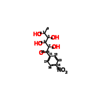 CC(O)C(O)C(O)C(O)C(=O)c1ccc([N+](=O)[O-])cc1